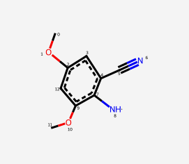 COc1cc(C#N)c([NH])c(OC)c1